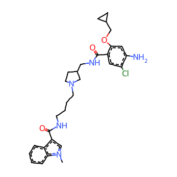 Cn1cc(C(=O)NCCCCN2CCC(CNC(=O)c3cc(Cl)c(N)cc3OCC3CC3)C2)c2ccccc21